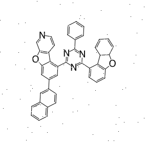 C1=CC2Oc3cccc(-c4nc(-c5ccccc5)nc(-c5cc(-c6ccc7ccccc7c6)cc6oc7cnccc7c56)n4)c3C2C=C1